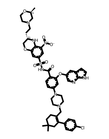 C[C@H]1CN(CC[C@H]2COc3cc(S(=O)(=O)NC(=O)c4ccc(N5CCN(CC6=C(c7ccc(Cl)cc7)CC(C)(C)CC6)CC5)cc4Oc4cnc5[nH]ccc5c4)cc([N+](=O)[O-])c3N2)CCO1